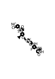 C[C@@H]1CN(CCOc2ccc(N3C(=S)N(c4ccc(C#N)c(Cl)c4)C(=O)C3(C)C)cc2C2CC2)C[C@H](C)N1CC(=O)Nc1cc(F)cc(NC2CCC(=O)NC2=O)c1